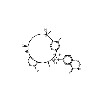 Cc1cc2ccc1[C@@H](C)CCCCC(=O)Nc1ccc(Br)c(c1)CN(C)C(=O)[C@@H]2Nc1ccc2cc[nH]c(=O)c2c1